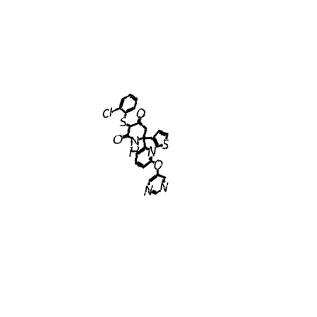 O=C1CC(c2ccsc2)(c2cccc(Oc3cncnc3)n2)NC(=O)C1Sc1ccccc1Cl